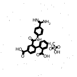 CS(=O)(=O)O.N=C(N)c1ccc(NC(=O)c2cc(C(=O)O)ccc2-c2ccccc2C(=O)O)cc1